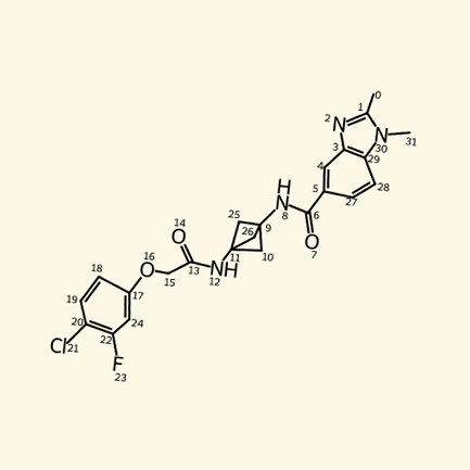 Cc1nc2cc(C(=O)NC34CC(NC(=O)COc5ccc(Cl)c(F)c5)(C3)C4)ccc2n1C